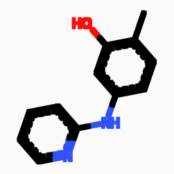 Cc1ccc(Nc2ccccn2)cc1O